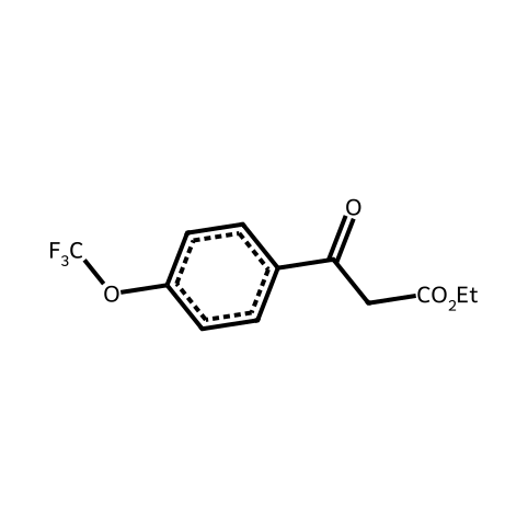 CCOC(=O)CC(=O)c1ccc(OC(F)(F)F)cc1